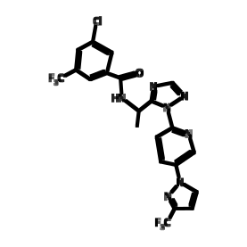 CC(NC(=O)c1cc(Cl)cc(C(F)(F)F)c1)c1ncnn1-c1ccc(-n2ccc(C(F)(F)F)n2)cn1